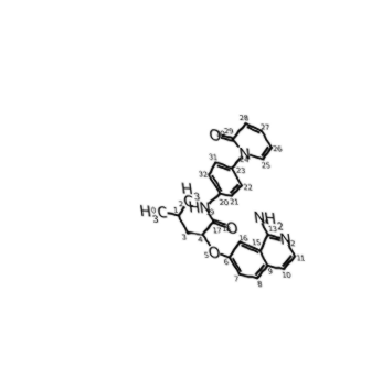 CC(C)C[C@H](Oc1ccc2ccnc(N)c2c1)C(=O)Nc1ccc(-n2ccccc2=O)cc1